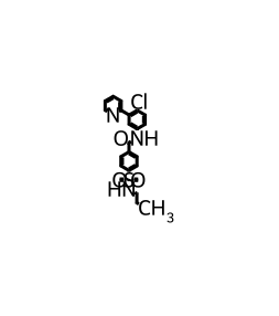 CCCNS(=O)(=O)c1ccc(C(=O)Nc2ccc(Cl)c(-c3ccccn3)c2)cc1